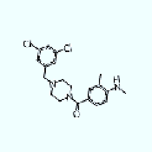 CNc1ccc(C(=O)N2CCN(Cc3cc(Cl)cc(Cl)c3)CC2)cc1C